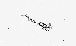 NC(=O)CCOCCOCCOc1ccc2c(c1)C(=O)N(C1CCC(=O)NC1=O)C2=O